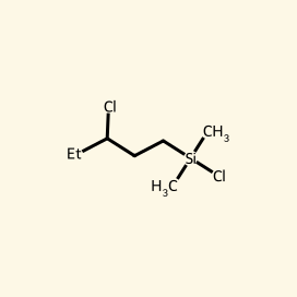 CCC(Cl)CC[Si](C)(C)Cl